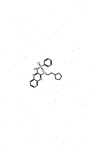 O=S(=O)(Nc1nc2ccccc2nc1OCCC1CCCC1)c1ccccc1